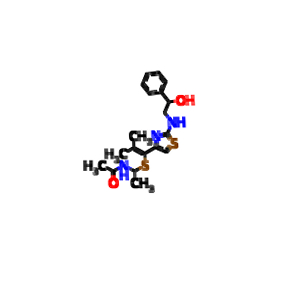 CC(=O)NC(C)SC(=C(C)C)c1csc(NCC(O)c2ccccc2)n1